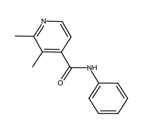 Cc1nccc(C(=O)Nc2ccccc2)c1C